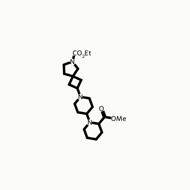 CCOC(=O)N1CCC2(CC(N3CCC(N4CCCCC4C(=O)OC)CC3)C2)C1